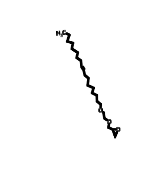 CCCCCCCC/C=C/CCCCCCCCOCCOCC1CO1